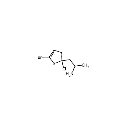 CC(N)CC1(Cl)CC=C(Br)S1